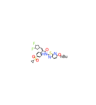 CCCCOc1ccc2nc(NC(=O)/C(=C/C3CC(F)C(F)C3)c3ccc(S(=O)(=O)C4CC4)cc3)sc2n1